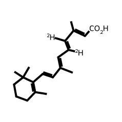 [2H]C(C=C(C)C=CC1=C(C)CCCC1(C)C)=C([2H])C(C)=CC(=O)O